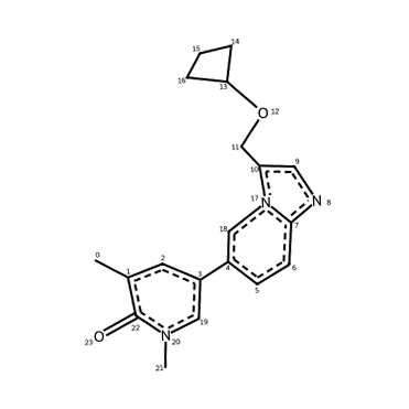 Cc1cc(-c2ccc3ncc(COC4CCC4)n3c2)cn(C)c1=O